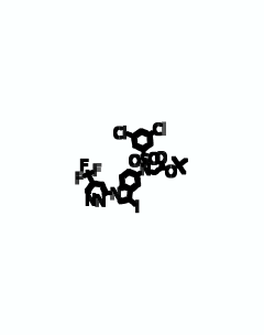 CC(C)(C)OC(=O)CN(c1ccc2c(c1)c(I)cn2-c1cc(C(F)(F)F)cnn1)S(=O)(=O)c1cc(Cl)cc(Cl)c1